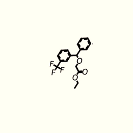 CCOC(=O)COC(c1c[c]ccc1)c1cccc(C(F)(F)F)c1